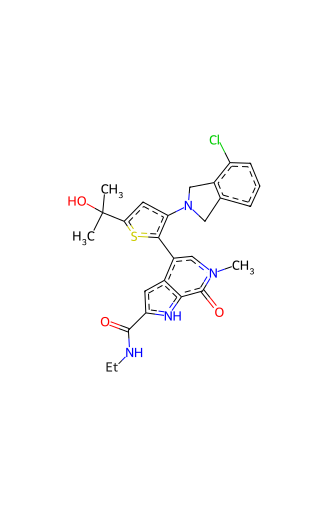 CCNC(=O)c1cc2c(-c3sc(C(C)(C)O)cc3N3Cc4cccc(Cl)c4C3)cn(C)c(=O)c2[nH]1